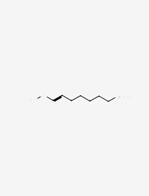 CCCCCCCCCCC=COO